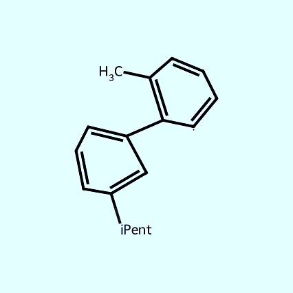 CCCC(C)c1cccc(-c2[c]cccc2C)c1